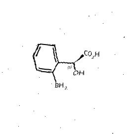 Bc1ccccc1[C@H](O)C(=O)O